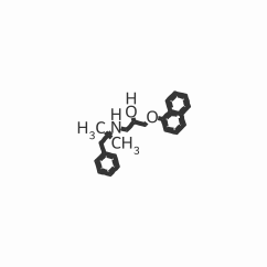 CC(C)(Cc1ccccc1)NCC(O)COc1cccc2ccccc12